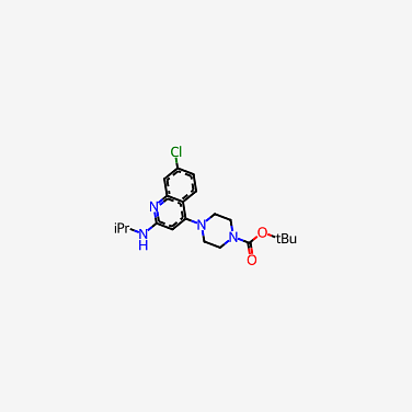 CC(C)Nc1cc(N2CCN(C(=O)OC(C)(C)C)CC2)c2ccc(Cl)cc2n1